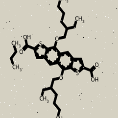 CCCC.CCCCC(CC)COc1c2cc3cc(C(=O)O)sc3c(OCC(CC)CCCC)c2cc2cc(C(=O)O)sc12